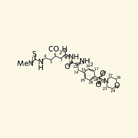 CNC(=S)NCCCC[C@H](NC(=O)[C@@H](N)Cc1ccc(S(=O)(=O)N2CCOCC2)cc1)C(=O)O